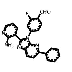 Nc1ncccc1-c1nc2ccc(-c3ccccc3)nc2n1-c1ccc(C=O)c(F)c1